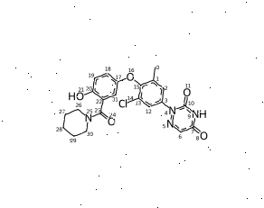 Cc1cc(-n2ncc(=O)[nH]c2=O)cc(Cl)c1Oc1ccc(O)c(C(=O)N2CCCCC2)c1